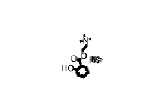 C[N+](C)(C)CCOC(=O)c1ccccc1O.[Na].[SH-]